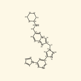 c1ccn(-c2cncc(-c3cn(Cc4cn5cc(CNC6CCCCC6)ccc5n4)nn3)c2)c1